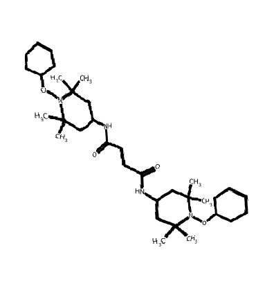 CC1(C)CC(NC(=O)CCC(=O)NC2CC(C)(C)N(OC3CCCCC3)C(C)(C)C2)CC(C)(C)N1OC1CCCCC1